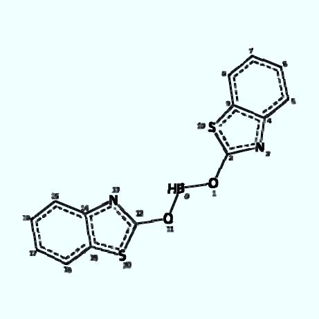 B(Oc1nc2ccccc2s1)Oc1nc2ccccc2s1